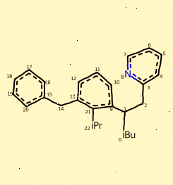 CCC(C)[C](Cc1ccccn1)c1cccc(Cc2ccccc2)c1C(C)C